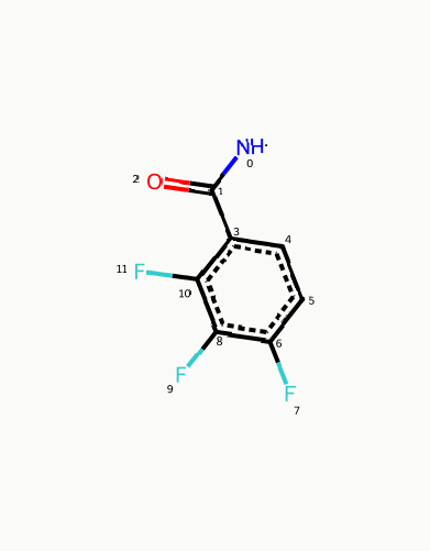 [NH]C(=O)c1ccc(F)c(F)c1F